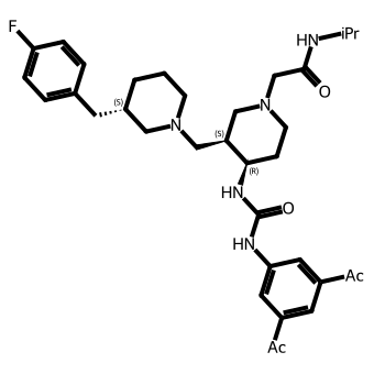 CC(=O)c1cc(NC(=O)N[C@@H]2CCN(CC(=O)NC(C)C)C[C@@H]2CN2CCC[C@@H](Cc3ccc(F)cc3)C2)cc(C(C)=O)c1